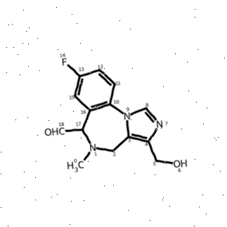 CN1Cc2c(CO)ncn2-c2ccc(F)cc2C1C=O